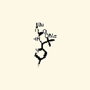 COC(C)(C)[C@H](NC(=O)OC(C)(C)C)c1ccc(F)cn1